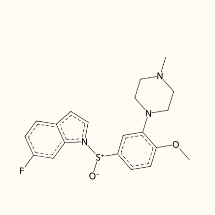 COc1ccc([S+]([O-])n2ccc3ccc(F)cc32)cc1N1CCN(C)CC1